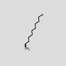 C=CCCCCCCCC[S]